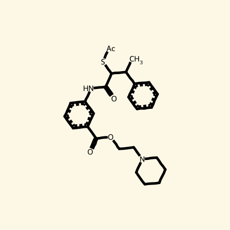 CC(=O)SC(C(=O)Nc1cccc(C(=O)OCCN2CCCCC2)c1)C(C)c1ccccc1